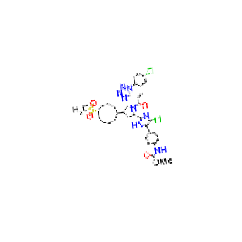 COC(=O)Nc1ccc(-c2[nH]c(C3CC(C4CCCCC(S(C)(=O)=O)CCC4)CN3C(=O)/C=C/c3cc(Cl)ccc3-n3cnnn3)nc2Cl)cc1